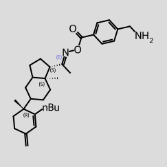 C=C1C=C(CCCC)[C@@](C)(C2CC[C@@]3(C)C(CC[C@@H]3/C(C)=N/OC(=O)c3ccc(CN)cc3)C2)CC1